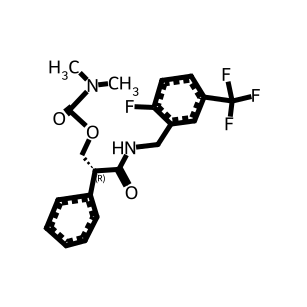 CN(C)C(=O)OC[C@H](C(=O)NCc1cc(C(F)(F)F)ccc1F)c1ccccc1